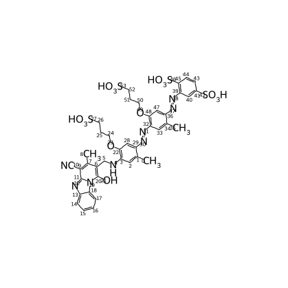 Cc1cc(NCc2c(C)c(C#N)c3nc4ccccc4n3c2O)c(OCCCS(=O)(=O)O)cc1N=Nc1cc(C)c(N=Nc2cc(S(=O)(=O)O)ccc2S(=O)(=O)O)cc1OCCCS(=O)(=O)O